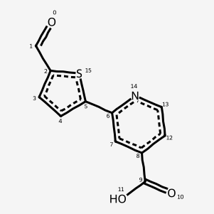 O=Cc1ccc(-c2cc(C(=O)O)ccn2)s1